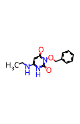 CCNc1cc(=O)n(OCc2ccccc2)c(=O)[nH]1